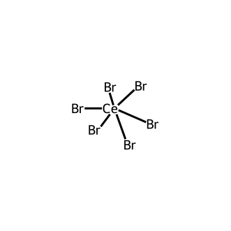 [Br][Ce]([Br])([Br])([Br])([Br])[Br]